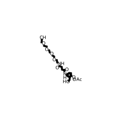 C#CCOCCOCCOCCOCCNC(=O)CCC(=O)Nc1ccc(OOC(C)=O)c(CO)c1